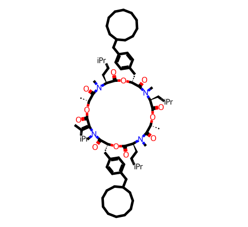 C/C(=C1\C(=O)O[C@H](C)C(=O)N(C)[C@@H](CCC(C)C)C(=O)O[C@H](Cc2ccc(CC3CCCCCCCCCC3)cc2)C(=O)N(C)[C@@H](CC(C)C)C(=O)O[C@H](C)C(=O)N(C)[C@@H](CCC(C)C)C(=O)O[C@H](Cc2ccc(CC3CCCCCCCCCC3)cc2)C(=O)N1C)C(C)C